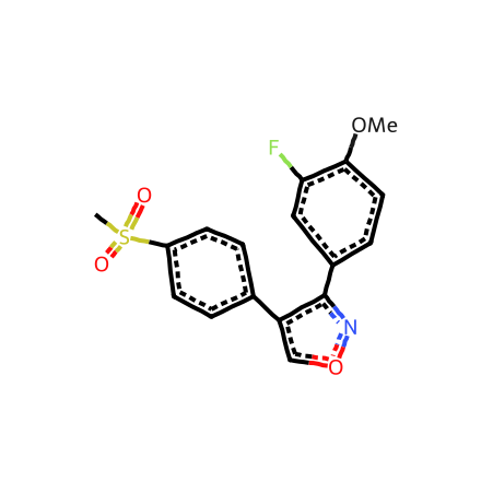 COc1ccc(-c2nocc2-c2ccc(S(C)(=O)=O)cc2)cc1F